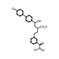 CCN(CC)C(=O)c1cccc(CCC(CC(O)c2ccc(-c3ccc(Cl)cc3)cc2)C(=O)O)c1